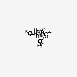 CCCC[C@H]1C(=O)N(Cc2cccc(C(F)(F)F)c2)C[C@H]2N1C(=O)CN(C)N2C(=O)NCc1ccc(F)cc1